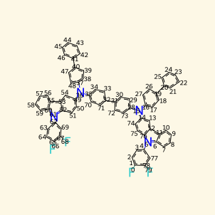 Fc1ccc(-n2c3ccccc3c3cc(N(c4ccc(-c5ccccc5)cc4)c4ccc(-c5ccc(N(c6ccc(-c7ccccc7)cc6)c6ccc7c(c6)c6ccccc6n7-c6ccc(F)c(F)c6)cc5)cc4)ccc32)cc1F